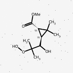 COC(=O)[C@H]1[C@H](C(O)C(C)(C)OO)C1(C)C